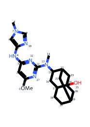 COc1cc(Nc2cn(C)cn2)nc(N(C)C2CC3CCC4CC2CC3(O)C4)n1